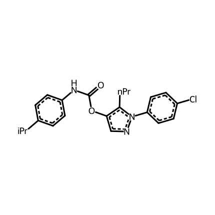 CCCc1c(OC(=O)Nc2ccc(C(C)C)cc2)cnn1-c1ccc(Cl)cc1